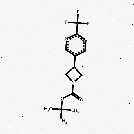 CC(C)(C)OC(=O)N1CC(c2ccc(C(F)(F)F)nc2)C1